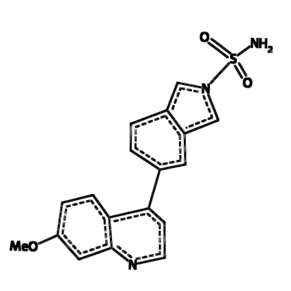 COc1ccc2c(-c3ccc4cn(S(N)(=O)=O)cc4c3)ccnc2c1